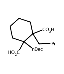 CCCCCCCCCCC1(C(=O)O)CCCCC1(CC(C)C)C(=O)O